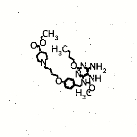 CCCCOc1nc(N)c2c(n1)N(Cc1ccc(OCCCCN3CCC(C(=O)OCC)CC3)cc1)C(OC)N2